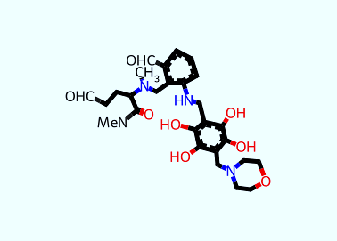 CNC(=O)C(CCC=O)N(C)Cc1c(C=O)cccc1NCc1c(O)c(O)c(CN2CCOCC2)c(O)c1O